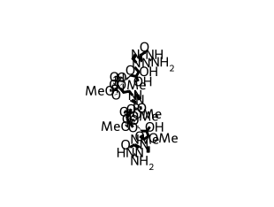 C=CN(c1nc(N)[nH]c(=O)c1NC)[C@@H]1O[C@H](COP(=O)(OC)OP(=O)(OC)OP(=O)(OC)c2cn(CCNP(=O)(OC)OP(=O)(OC)OC[C@H]3O[C@@H](n4cnc5c(=O)[nH]c(N)nc54)C(O)C3O)nn2)C(O)C1OC